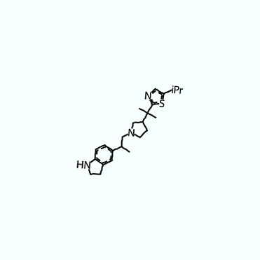 CC(C)c1cnc(C(C)(C)C2CCN(CC(C)c3ccc4c(c3)CCN4)C2)s1